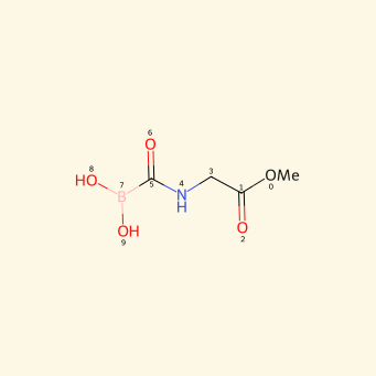 COC(=O)CNC(=O)B(O)O